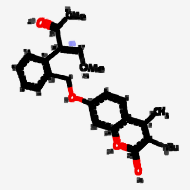 CCCCc1c(C)c2ccc(OCc3ccccc3/C(=C\OC)C(=O)OC)cc2oc1=O